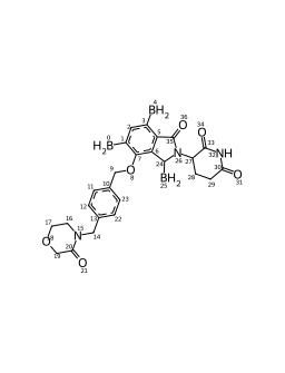 Bc1cc(B)c2c(c1OCc1ccc(CN3CCOCC3=O)cc1)C(B)N(C1CCC(=O)NC1=O)C2=O